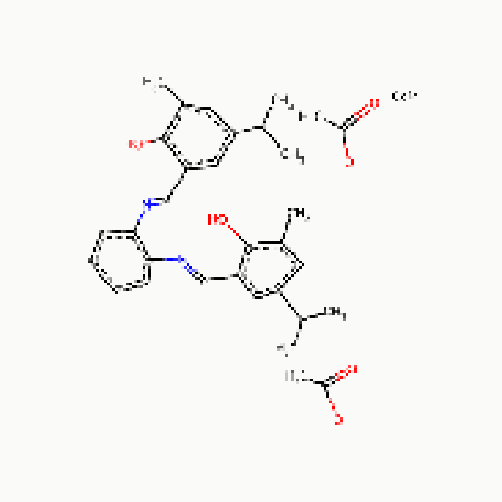 CC(=O)[O-].CC(=O)[O-].Cc1cc(C(C)C)cc(C=Nc2ccccc2N=Cc2cc(C(C)C)cc(C)c2O)c1O.[Co+2]